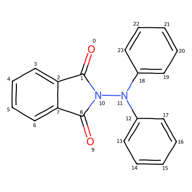 O=C1c2ccccc2C(=O)N1N(c1ccccc1)c1ccccc1